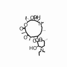 CC[C@H]1OC(=O)[C@H](C)C(=O)[C@H](C)[C@@H](O[C@@H]2O[C@H](C)C[C@H](N(C)CC)[C@H]2O)[C@](C)(O)C[C@@H](C)CN(C)[C@H](C)[C@@H](O)[C@]1(C)O